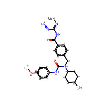 CN/N=C(\N=N)NC(=O)c1ccc(CN(C(=O)Nc2ccc(OC(F)(F)F)cc2)C2CCC(C(C)(C)C)CC2)cc1